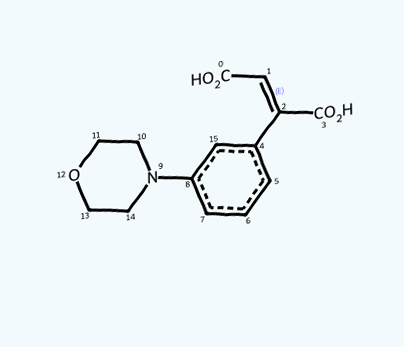 O=C(O)/C=C(/C(=O)O)c1cccc(N2CCOCC2)c1